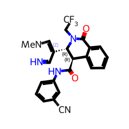 CN/C=C(\C=N)[C@H]1[C@H](C(=O)Nc2cccc(C#N)c2)c2ccccc2C(=O)N1CC(F)(F)F